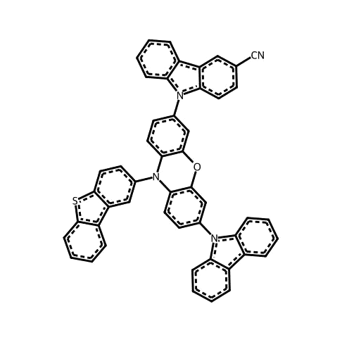 N#Cc1ccc2c(c1)c1ccccc1n2-c1ccc2c(c1)Oc1cc(-n3c4ccccc4c4ccccc43)ccc1N2c1ccc2sc3ccccc3c2c1